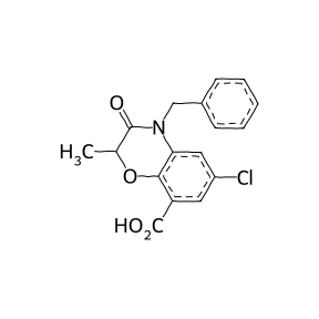 CC1Oc2c(C(=O)O)cc(Cl)cc2N(Cc2ccccc2)C1=O